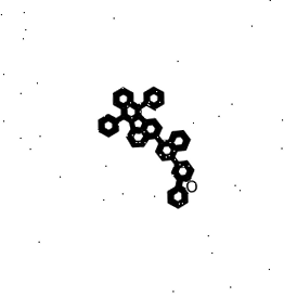 c1ccc(-c2c3c(c(-c4ccccc4)c4ccccc24)-c2ccc(-c4ccc(-c5ccc6oc7ccccc7c6c5)c5ccccc45)c4cccc-3c24)cc1